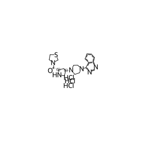 Cl.Cl.Cl.O=C([C@@H]1C[C@H](N2CCN(c3ncnc4ccccc34)CC2)CN1)N1CCSC1